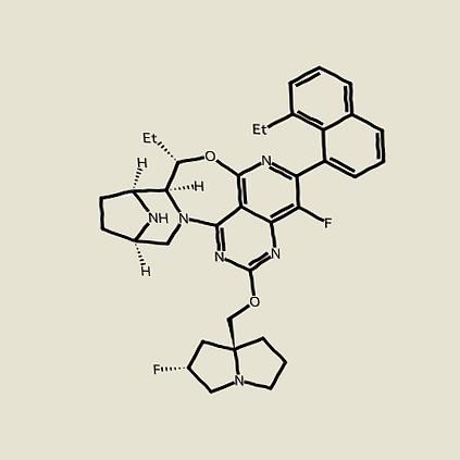 CCc1cccc2cccc(-c3nc4c5c(nc(OC[C@@]67CCCN6C[C@H](F)C7)nc5c3F)N3C[C@H]5CC[C@H](N5)[C@H]3[C@H](CC)O4)c12